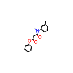 Cc1cccc(N(C)C(=O)CC(=O)Oc2ccccc2)c1